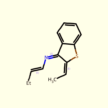 C/C=C1/Sc2ccccc2/C1=N/C=C/CC